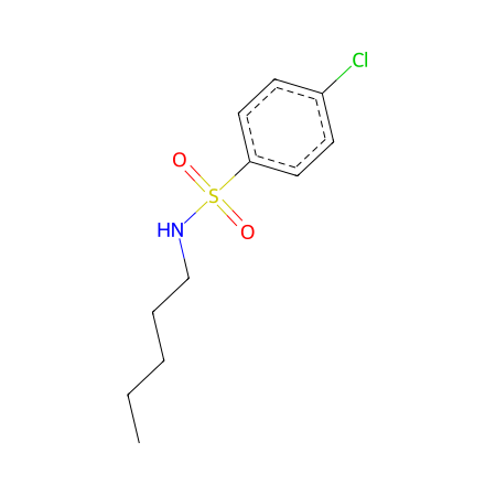 CCCCCNS(=O)(=O)c1ccc(Cl)cc1